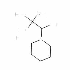 CC(N1CCCCC1)C(C)(C)[N+](=O)[O-].I